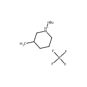 CCCC[NH+]1CCCC(C)C1.F[B-](F)(F)F